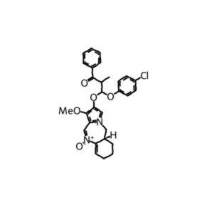 COc1c(OC(Oc2ccc(Cl)cc2)C(C)C(=O)c2ccccc2)cn2c1C=[N+]([O-])C1=CCCC[C@H]1C2